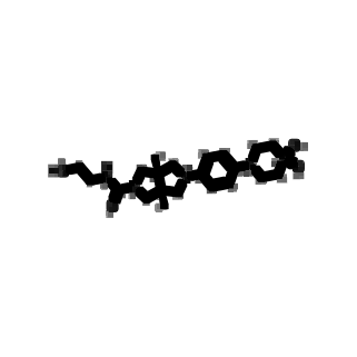 C[C@@]12CN(C(=O)NCCO)C[C@]1(C)CN(c1ccc(N3CCS(=O)(=O)CC3)cc1)C2